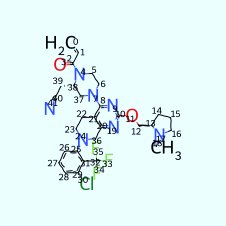 C=CC(=O)N1CCN(c2nc(OC[C@H]3CCCN3C)nc3c2CCN(c2cccc(Cl)c2C(F)(F)F)C3)C[C@@H]1CC#N